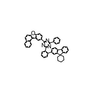 c1ccc(-c2nc(-c3ccc4oc5ccc6ccccc6c5c4c3)nc(-c3ccccc3-c3ccc4c(c3)C3(CCCCC3)c3ccccc3-4)n2)cc1